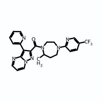 CC1CCN(c2ccc(C(F)(F)F)cn2)CCN1C(=O)c1nn2cccnc2c1-c1ccccn1